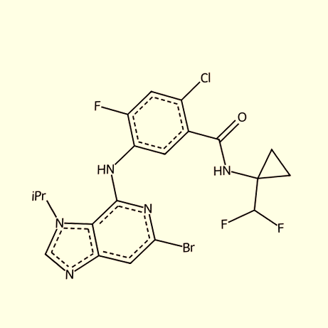 CC(C)n1cnc2cc(Br)nc(Nc3cc(C(=O)NC4(C(F)F)CC4)c(Cl)cc3F)c21